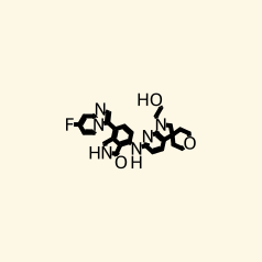 O=C1NCc2c(-c3cnc4cc(F)ccn34)ccc(Nc3ccc4c(n3)N(CCO)CC43CCOCC3)c21